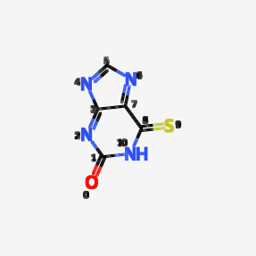 O=C1N=C2N=CN=C2C(=S)N1